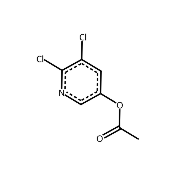 CC(=O)Oc1cnc(Cl)c(Cl)c1